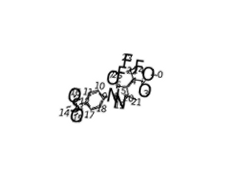 COC(=O)C(=C1C(=O)N(c2ccc(S(C)(=O)=O)cc2)N=C1C)C(F)(F)F